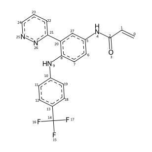 C=CC(=O)Nc1ccc(Nc2ccc(C(F)(F)F)cc2)c(-c2cccnn2)c1